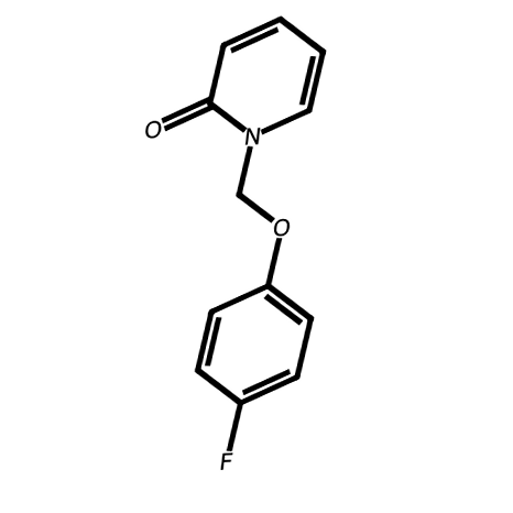 O=c1ccccn1COc1ccc(F)cc1